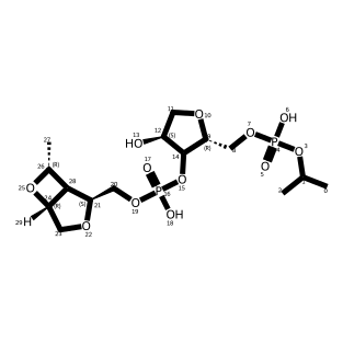 CC(C)OP(=O)(O)OC[C@H]1OC[C@H](O)C1OP(=O)(O)OC[C@H]1OC[C@@H]2O[C@H](C)C21